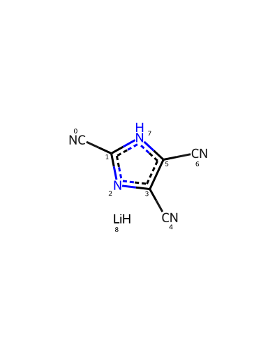 N#Cc1nc(C#N)c(C#N)[nH]1.[LiH]